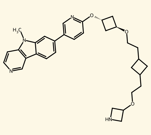 Cn1c2ccncc2c2ccc(-c3ccc(O[C@H]4C[C@H](OCCC5CC(CCOC6CNC6)C5)C4)nc3)cc21